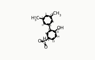 Cc1cc(C)cc(-c2cc([SH](=O)=O)ccc2O)c1